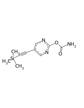 C[Si](C)(C)C#Cc1cnc(OC(N)=O)nc1